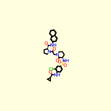 O=C(Nc1ccc(S(=O)(=O)N[C@H]2CCCN(CC(=O)N3CCC[C@H]3C(=O)Nc3ccc4ccccc4c3)C2=O)cc1Cl)C1CC1